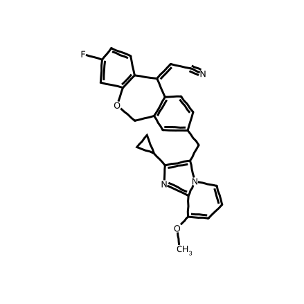 COc1cccn2c(Cc3ccc4c(c3)COc3cc(F)ccc3C4=CC#N)c(C3CC3)nc12